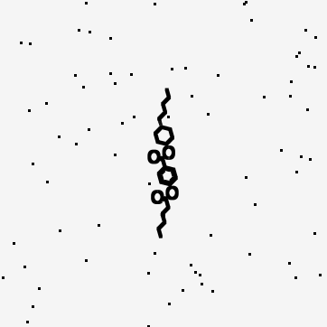 CCCCCC(=O)Oc1ccc(C(=O)O[C@H]2CC[C@H](CCCCC)CC2)cc1